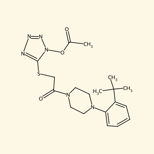 CC(=O)On1nnnc1SCC(=O)N1CCN(c2ccccc2C(C)(C)C)CC1